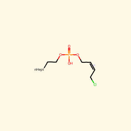 CCCCCCCCCOP(=O)(O)OC/C=C\CCl